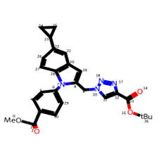 COC(=O)c1ccc(-n2c(Cn3cc(C(=O)OC(C)(C)C)nn3)cc3cc(C4CC4)ccc32)cc1